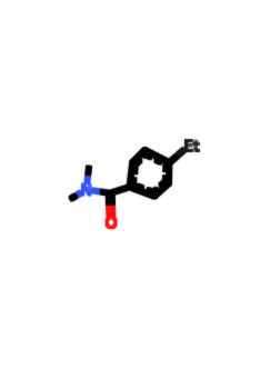 CCc1ccc(C(=O)N(C)C)cc1